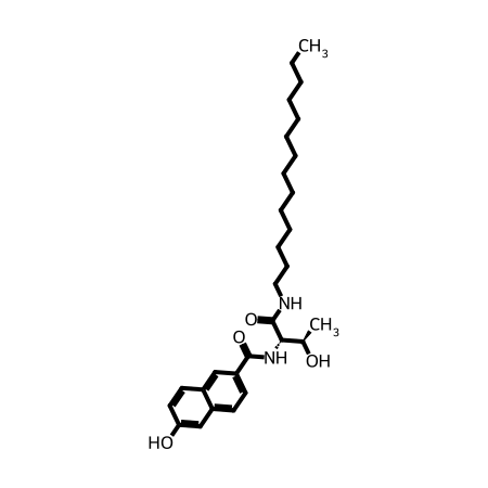 CCCCCCCCCCCCCCNC(=O)[C@@H](NC(=O)c1ccc2cc(O)ccc2c1)[C@@H](C)O